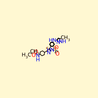 Cc1cc(Nc2ccc(-c3cnc(C4CCC(NC(=O)OC(C)C)CC4)s3)c(S(=N)(=O)C3COC3)c2)n[nH]1